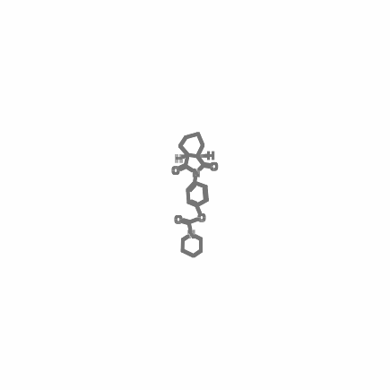 O=C(Oc1ccc(N2C(=O)[C@H]3CCCC[C@H]3C2=O)cc1)N1CCCCC1